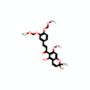 COCOc1ccc(/C=C/C(=O)c2c(OC)cc3c(c2O)C=CC(C)(S)O3)cc1OCOC